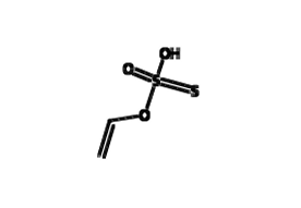 C=COS(=O)(O)=S